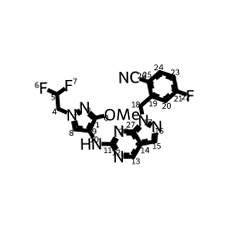 COc1nn(CC(F)F)cc1Nc1ncc2cnn(Cc3cc(F)ccc3C#N)c2n1